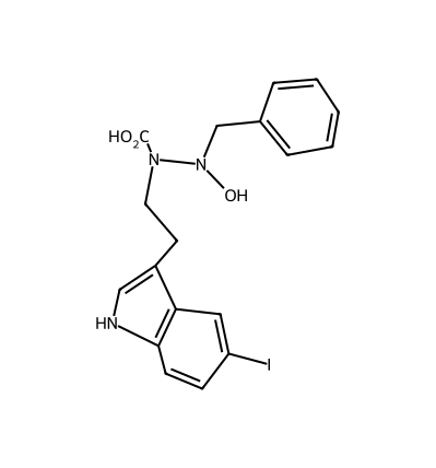 O=C(O)N(CCc1c[nH]c2ccc(I)cc12)N(O)Cc1ccccc1